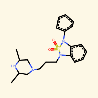 CC1CN(CCCN2c3ccccc3N(c3ccccc3)S2(=O)=O)CC(C)N1